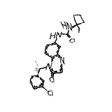 C[C@@H](c1cccc(Cl)c1)n1c(=O)cnc2cc(NC(=O)NC3(C)CCC3)ccc21